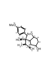 C#[N+]C(=C)C(Cc1ccc(OC)cc1)([N+]#C)C1CC(O)CCC1OC(C)=O